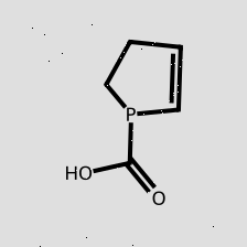 O=C(O)P1C=CCC1